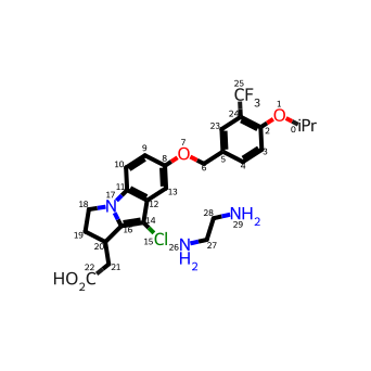 CC(C)Oc1ccc(COc2ccc3c(c2)c(Cl)c2n3CCC2CC(=O)O)cc1C(F)(F)F.NCCN